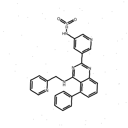 O=[SH](=O)Nc1cncc(-c2nc(NCc3ccccn3)c3c(-c4ccccc4)cccc3n2)c1